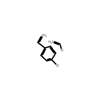 C=CCl.C=Cc1ccc(Cl)cc1